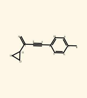 C=C(C#Cc1ccc(C)cc1)C1CC1